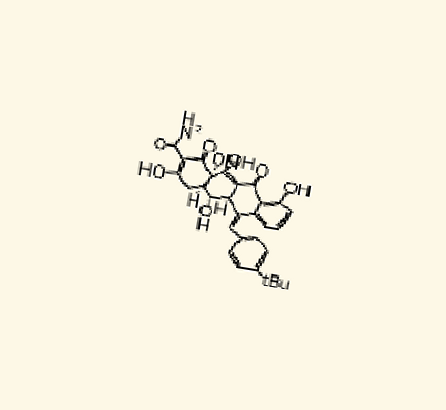 CC(C)(C)c1ccc(/C=C2\c3cccc(O)c3C(=O)C3=C(O)[C@]4(O)C(=O)C(C(N)=O)=C(O)C[C@@H]4[C@@H](O)[C@@H]32)cc1